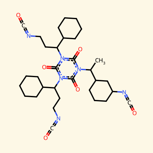 CC(C1CCCC(N=C=O)C1)n1c(=O)n(C(CCN=C=O)C2CCCCC2)c(=O)n(C(CCN=C=O)C2CCCCC2)c1=O